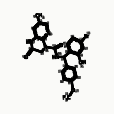 Cc1cnc2c(c1)NC(=O)CN2C(=O)NC(c1ccc(OC(F)(F)F)cc1)c1ccc(Br)cc1O